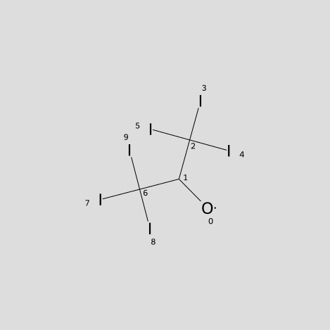 [O]C(C(I)(I)I)C(I)(I)I